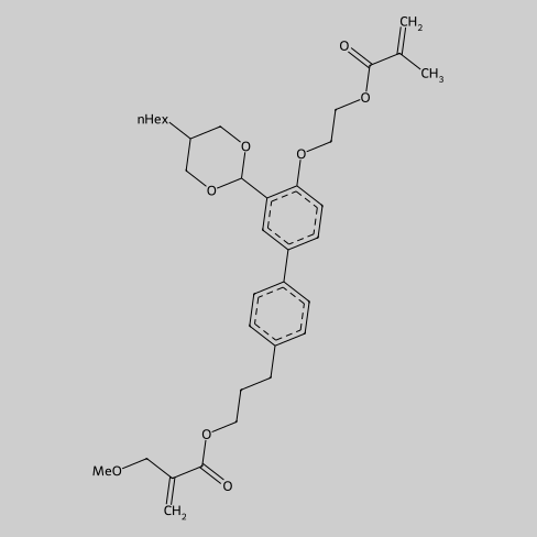 C=C(C)C(=O)OCCOc1ccc(-c2ccc(CCCOC(=O)C(=C)COC)cc2)cc1C1OCC(CCCCCC)CO1